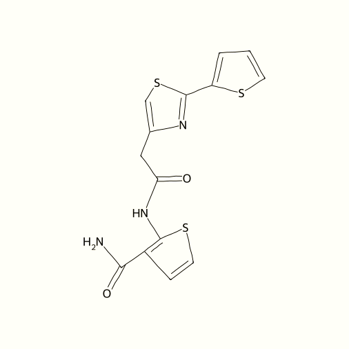 NC(=O)c1ccsc1NC(=O)Cc1csc(-c2cccs2)n1